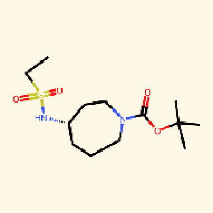 CCS(=O)(=O)N[C@H]1CCCN(C(=O)OC(C)(C)C)CC1